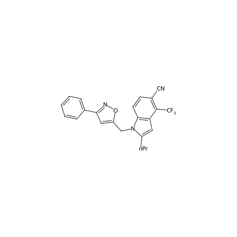 CCCc1cc2c(C(F)(F)F)c(C#N)ccc2n1Cc1cc(-c2ccccc2)no1